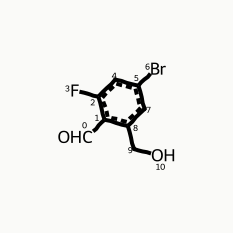 O=Cc1c(F)cc(Br)cc1CO